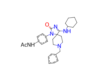 CC(=O)Nc1ccc(N2C(=O)N=C(NC3CCCCC3)C23CCN(Cc2ccccc2)CC3)cc1